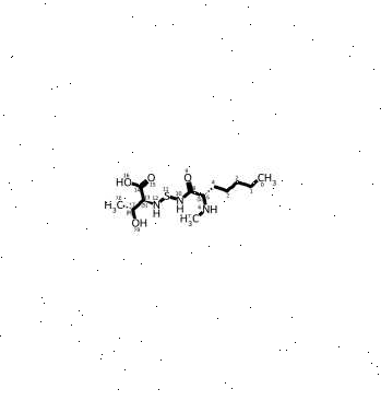 CCCCC[C@H](NC)C(=O)NSN[C@H](C(=O)O)[C@@H](C)O